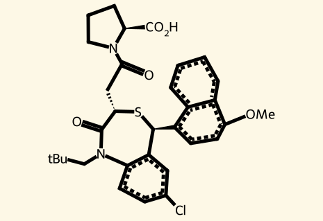 COc1ccc([C@@H]2S[C@@H](CC(=O)N3CCC[C@H]3C(=O)O)C(=O)N(CC(C)(C)C)c3ccc(Cl)cc32)c2ccccc12